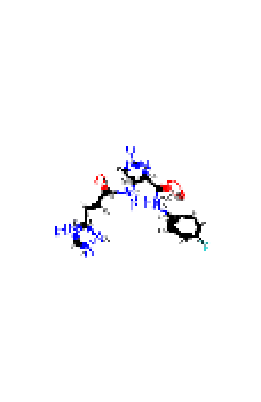 O=C(CCc1nnc[nH]1)Nc1c[nH]nc1C(=O)Nc1ccc(F)cc1